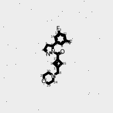 O=C(N1N=CCC1c1cc(F)cc(F)c1)C12CC(CN3CCOCC3)(C1)C2